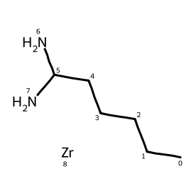 CCCCCC(N)N.[Zr]